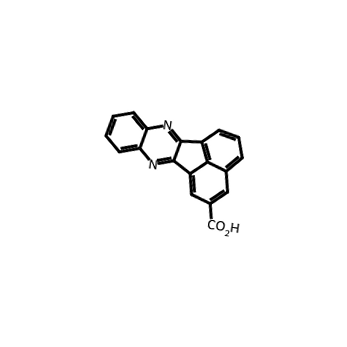 O=C(O)c1cc2c3c(cccc3c1)-c1nc3ccccc3nc1-2